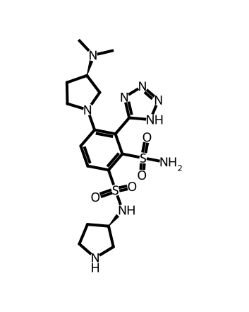 CN(C)[C@@H]1CCN(c2ccc(S(=O)(=O)N[C@@H]3CCNC3)c(S(N)(=O)=O)c2-c2nnn[nH]2)C1